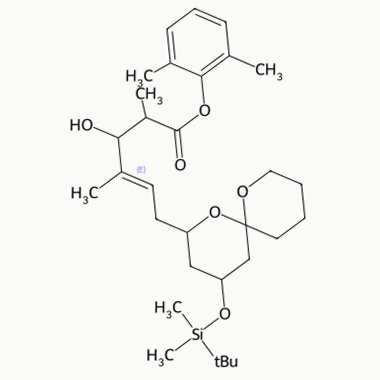 C/C(=C\CC1CC(O[Si](C)(C)C(C)(C)C)CC2(CCCCO2)O1)C(O)C(C)C(=O)Oc1c(C)cccc1C